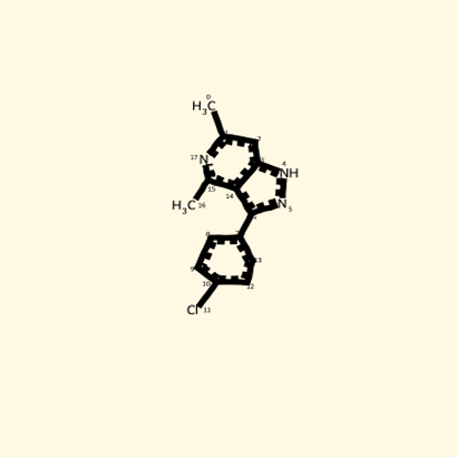 Cc1cc2[nH]nc(-c3ccc(Cl)cc3)c2c(C)n1